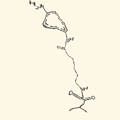 CC(C)S(=O)(=O)NCCCCC(=O)Nc1ccc(N)cc1